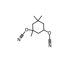 CC1(C)CC(OC#N)CC(C)(OC#N)C1